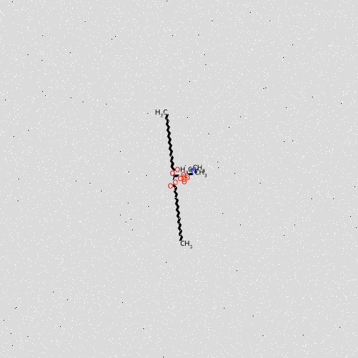 CCCCCCCCCCCCCCCCCC=CC(=O)O[C@H](COC(=O)CCCCCCCCCCCCCCCCCCC)COP(=O)([O-])OCC[N+](C)(C)C